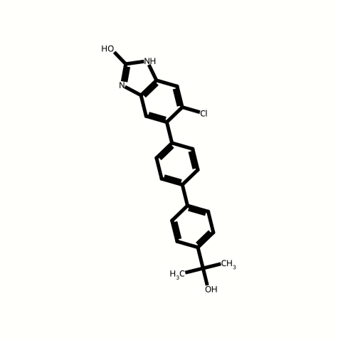 CC(C)(O)c1ccc(-c2ccc(-c3cc4nc(O)[nH]c4cc3Cl)cc2)cc1